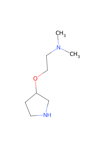 CN(C)CCOC1CCNC1